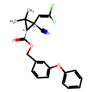 CC1(C)[C@@H](C(=O)OCc2cccc(Oc3ccccc3)c2)[C@@]1(C#N)C=C(Cl)Cl